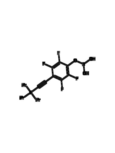 CC(C)[Si](C#Cc1c(F)c(F)c(OB(O)O)c(F)c1F)(C(C)C)C(C)C